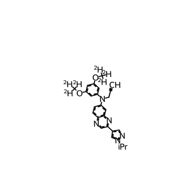 [2H]C([2H])([2H])Oc1cc(OC([2H])([2H])[2H])cc(N(CC#C)c2ccc3ncc(-c4cnn(C(C)C)c4)nc3c2)c1